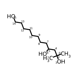 CC(C)(O)CC(O)CCCCCCCCO